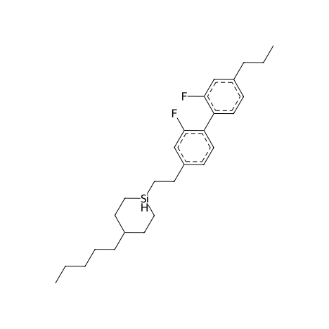 CCCCCC1CC[SiH](CCc2ccc(-c3ccc(CCC)cc3F)c(F)c2)CC1